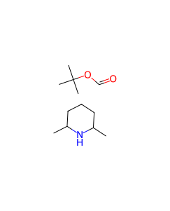 CC(C)(C)OC=O.CC1CCCC(C)N1